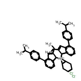 CCC1=Cc2c(-c3ccc(C(C)C)cc3)cccc2[CH]1[Hf+2]1([CH]2C(CC)=Cc3c(-c4ccc(C(C)C)cc4)cccc32)[CH]2CCCC[CH]21.[Cl-].[Cl-]